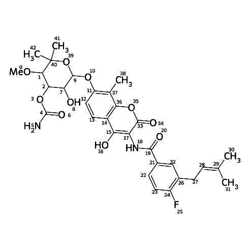 COC1C(OC(N)=O)C(O)C(Oc2ccc3c(O)c(NC(=O)c4ccc(F)c(CC=C(C)C)c4)c(=O)oc3c2C)OC1(C)C